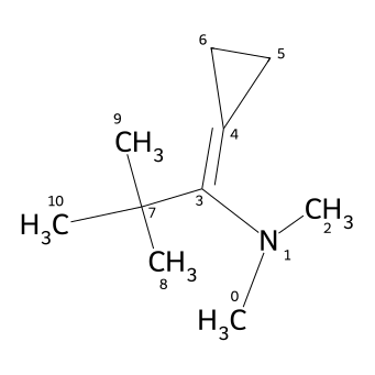 CN(C)C(=C1CC1)C(C)(C)C